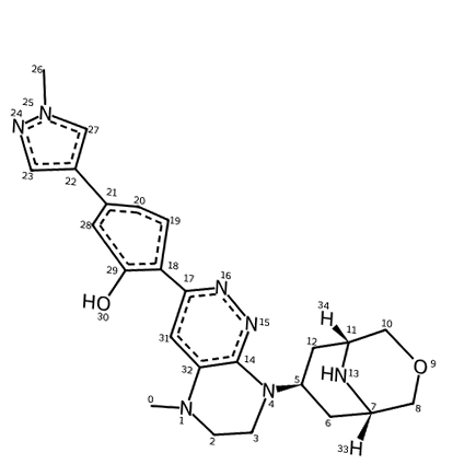 CN1CCN([C@@H]2C[C@H]3COC[C@@H](C2)N3)c2nnc(-c3ccc(-c4cnn(C)c4)cc3O)cc21